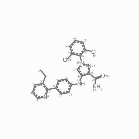 CCc1cccnc1-c1ccc(Nc2cn(-c3c(Cl)cccc3Cl)nc2C(N)=O)cc1